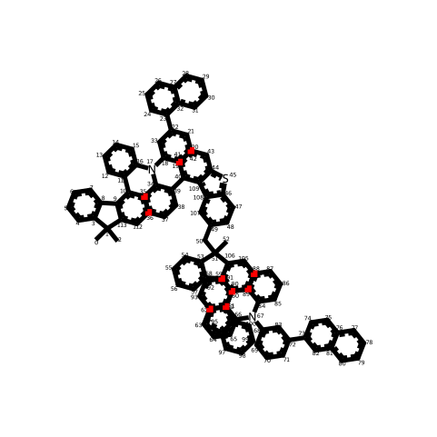 CC1(C)c2ccccc2-c2c(-c3ccccc3N(c3cccc(-c4cccc5ccccc45)c3)c3ccccc3-c3cccc4sc5ccc(CC6(C)c7ccccc7-c7c(-c8ccccc8N(c8cccc(-c9ccc%10ccccc%10c9)c8)c8ccccc8-c8cccc9sc%10ccccc%10c89)cccc76)cc5c34)cccc21